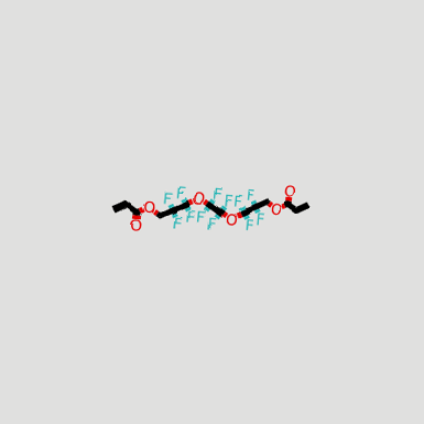 C=CC(=O)OCC(F)(F)C(F)(F)OC(F)(F)C(F)(F)OC(F)(F)C(F)(F)COC(=O)C=C